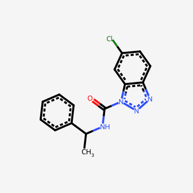 CC(NC(=O)n1nnc2ccc(Cl)cc21)c1ccccc1